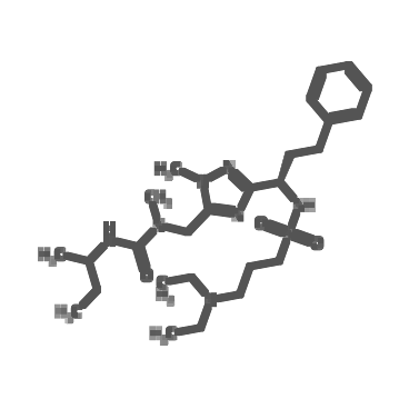 CCC(C)NC(=O)N(C)Cc1nc([C@@H](CCc2ccccc2)NS(=O)(=O)CCCN(CC)CC)nn1C